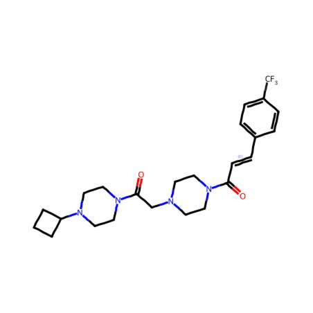 O=C(/C=C/c1ccc(C(F)(F)F)cc1)N1CCN(CC(=O)N2CCN(C3CCC3)CC2)CC1